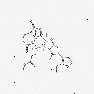 CCc1occc1C1CC2O[C@@H]3[C@@H]4OC(=O)[C@]5(C)CCC(=O)[C@](C)([C@@H](CCC(=O)OC)[C@]3(C)C2=C1C)[C@@H]45